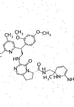 COc1ccc([C@@H](CNc2ncc3n(c2=O)[C@H](C(=O)NCC2(C)C=CC=C(N)N2)CC3)c2cc(C)cc(C)n2)c(OC)c1